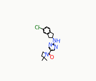 CC1(C)CCN1C(=O)c1cnc(NC2Cc3ccc(Cl)cc3C2)nc1